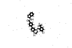 O=C(NC1CCc2ccccc21)c1ccc(-c2cnc3c(c2)N(Cc2cc(Cl)ccc2C(F)(F)F)CCN3)cc1